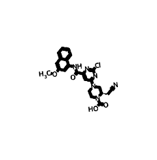 COc1cc(NC(=O)c2cc(N3CCN(C(=O)O)[C@@H](CC#N)C3)nc(Cl)n2)c2ccccc2c1